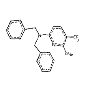 COc1nc(N(Cc2ccccc2)Cc2ccccc2)ccc1C(F)(F)F